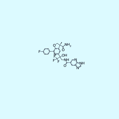 C[C@]1(C(N)=O)COc2c1cc(C(O)(CNC(=O)c1cnc3[nH]cnc3c1)C(F)(F)F)nc2-c1ccc(F)cc1